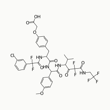 COc1ccc(C(NC(=O)C(Cc2ccc(OCC(=O)O)cc2)NC(=O)C(F)(F)c2cccc(Cl)c2)C(=O)NC(C(=O)C(F)(F)C(=O)NCC(F)(F)F)C(C)C)cc1